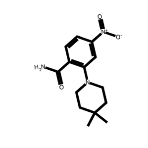 CC1(C)CCN(c2cc([N+](=O)[O-])ccc2C(N)=O)CC1